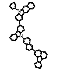 c1ccc(-n2c3ccc(-c4ccc5c(c4)c4ccccc4n5-c4ccc5cc(-c6cc7c8c(cccc8c6)-c6ccccc6-7)ccc5c4)cc3c3cc4ccccc4cc32)cc1